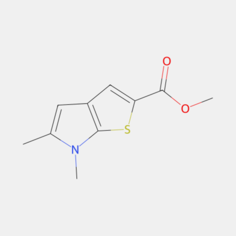 COC(=O)c1cc2cc(C)n(C)c2s1